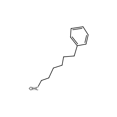 O=[C]CCCCCCc1ccccc1